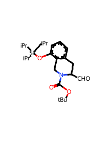 CC(C)[Si](Oc1cccc2c1CN(C(=O)OC(C)(C)C)C(C=O)C2)(C(C)C)C(C)C